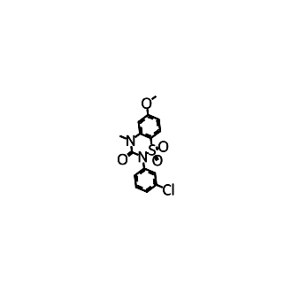 COc1ccc2c(c1)N(C)C(=O)N(c1cccc(Cl)c1)S2(=O)=O